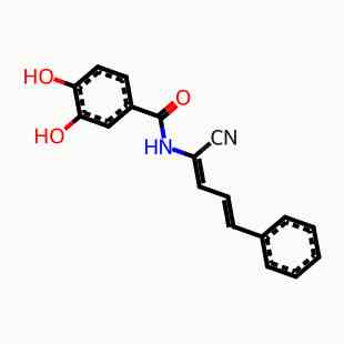 N#C/C(=C\C=C\c1ccccc1)NC(=O)c1ccc(O)c(O)c1